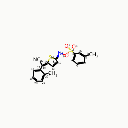 Cc1cccc(S(=O)(=O)ON=C2C=CC(=C(C#N)c3ccccc3C)S2)c1